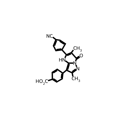 Cc1nn2c(=O)c(C)c(-c3ccc(C#N)cc3)[nH]c2c1-c1ccc(C(=O)O)cc1